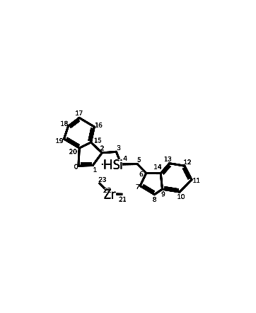 C1=CC(C[SiH]CC2C=Cc3ccccc32)c2ccccc21.[CH3][Zr][CH3]